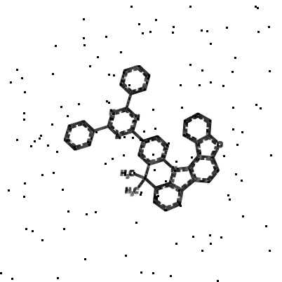 CC1(C)c2cc(-c3nc(-c4ccccc4)nc(-c4ccccc4)n3)ccc2-n2c3c1cccc3c1ccc3oc4ccccc4c3c12